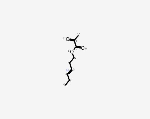 CC/C=C/CCOC(=O)C(C)=O